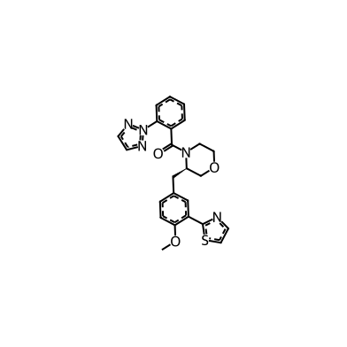 COc1ccc(C[C@@H]2COCCN2C(=O)c2ccccc2-n2nccn2)cc1-c1nccs1